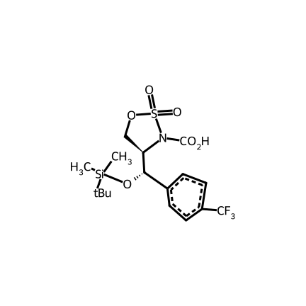 CC(C)(C)[Si](C)(C)O[C@@H](c1ccc(C(F)(F)F)cc1)[C@H]1COS(=O)(=O)N1C(=O)O